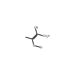 CCOC(C)=C(C#N)C(=O)O